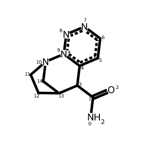 NC(=O)C1c2ccnn[n+]2N2CCC1C2